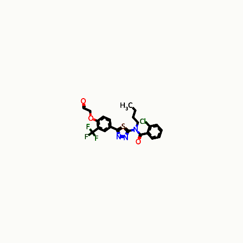 CCCCN(C(=O)c1ccccc1Cl)c1nnc(-c2ccc(OCC=O)c(C(F)(F)F)c2)s1